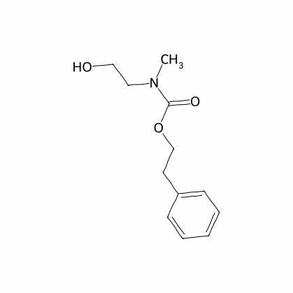 CN(CCO)C(=O)OCCc1ccccc1